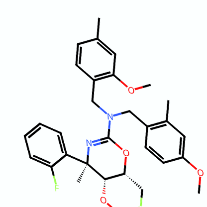 COc1ccc(CN(Cc2ccc(C)cc2OC)C2=N[C@](C)(c3ccccc3F)[C@@H](OC)[C@@H](CF)O2)c(C)c1